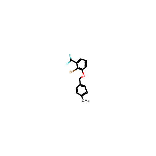 COc1ccc(COc2cccc(C(F)F)c2Br)cc1